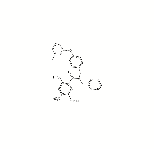 Cc1cccc(Oc2ccc(CN(Cc3ccccc3)C(=O)c3cc(C(=O)O)c(C(=O)O)cc3C(=O)O)cc2)c1